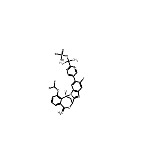 C=C1OC2C[C@H](c3c(OC(F)F)cccc31)n1c2nc2cc(F)c(-c3cnc(C(C)(C)OP(=O)(O)O)nc3)cc21